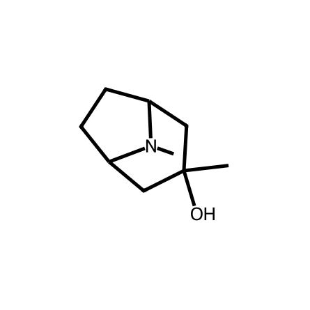 CN1C2CCC1CC(C)(O)C2